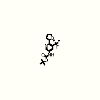 CC(C)(C)OC(=O)Nc1cnc(C2CCCO2)c(C(F)(F)F)c1